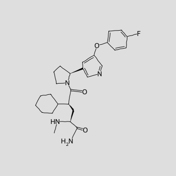 CN[C@@H](C[C@H](C(=O)N1CCC[C@H]1c1cncc(Oc2ccc(F)cc2)c1)C1CCCCC1)C(N)=O